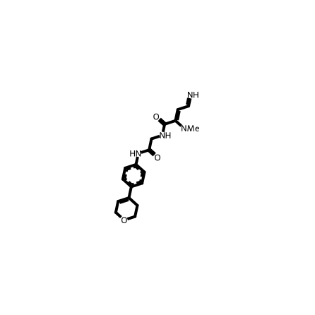 CN/C(=C\C=N)C(=O)NCC(=O)Nc1ccc(C2=CCOCC2)cc1